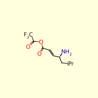 CC(C)C[C@H](N)/C=C/C(=O)OC(=O)C(F)(F)F